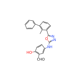 Cc1c(-c2ccccc2)cccc1-c1nnc(Nc2ccc(O)c(C=O)c2)o1